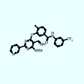 CNc1nc(-c2cccnc2)nc(Oc2cc(C(=O)Nc3cccc(C(F)(F)F)c3)ccc2C)c1C=N